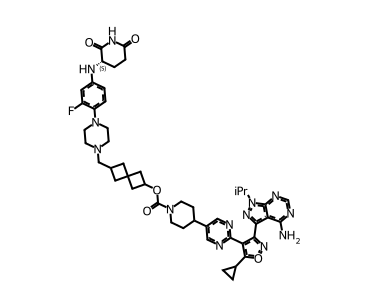 CC(C)n1nc(-c2noc(C3CC3)c2-c2ncc(C3CCN(C(=O)OC4CC5(CC(CN6CCN(c7ccc(N[C@H]8CCC(=O)NC8=O)cc7F)CC6)C5)C4)CC3)cn2)c2c(N)ncnc21